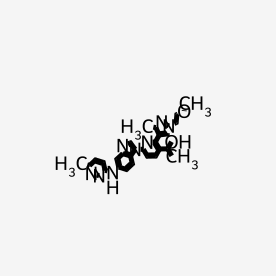 COCCn1cc(-c2nc(-n3cnc4cc(Nc5ccc(C)nn5)ccc43)ccc2C(C)O)c(C)n1